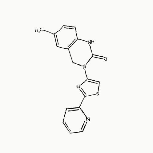 Cc1ccc2c(c1)CN(c1csc(-c3ccccn3)n1)C(=O)N2